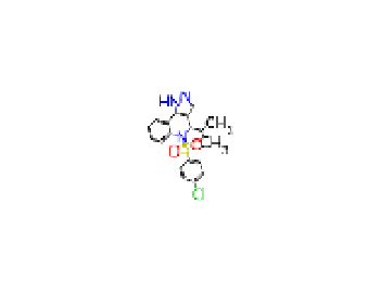 CC(C)C1c2cn[nH]c2-c2ccccc2N1S(=O)(=O)c1ccc(Cl)cc1